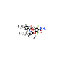 NC(=O)c1c(F)ccc(OC(CC(CC(=O)O)C(=O)O)c2nc(-c3ccc(C(F)(F)F)cc3)c(Br)o2)c1F